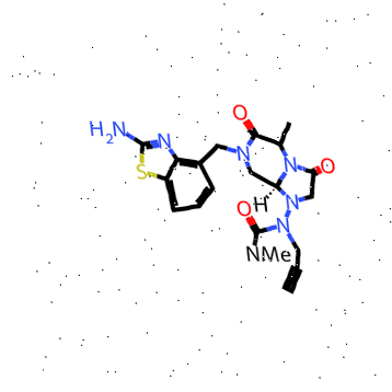 C#CCN(C(=O)NC)N1CC(=O)N2C(C)C(=O)N(Cc3cccc4sc(N)nc34)C[C@@H]21